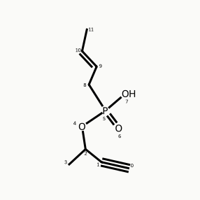 C#CC(C)OP(=O)(O)CC=CC